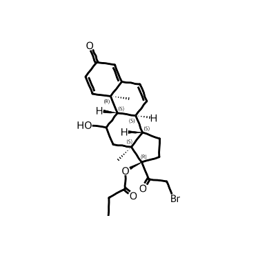 CCC(=O)O[C@]1(C(=O)CBr)CC[C@H]2[C@@H]3C=CC4=CC(=O)C=C[C@]4(C)[C@H]3C(O)C[C@@]21C